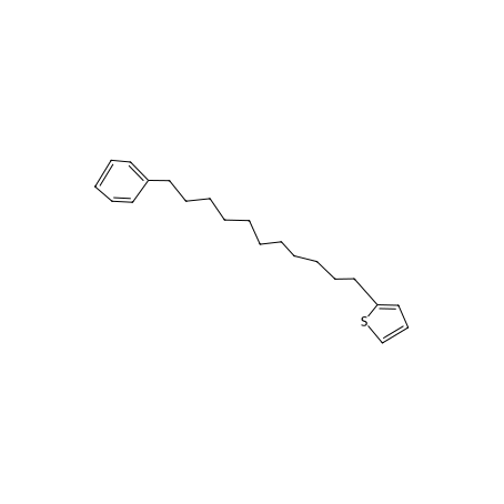 c1ccc(CCCCCCCCCCCc2cccs2)cc1